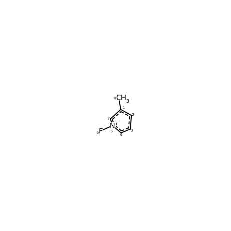 Cc1ccc[n+](F)c1